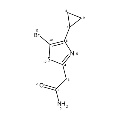 NC(=O)Cc1nc(C2CC2)c(Br)s1